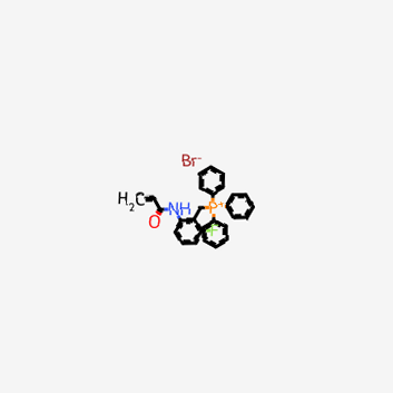 C=CC(=O)Nc1cccc(F)c1C[P+](c1ccccc1)(c1ccccc1)c1ccccc1.[Br-]